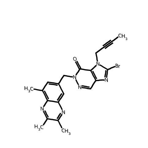 CC#CCn1c(Br)nc2cnn(Cc3cc(C)c4nc(C)c(C)nc4c3)c(=O)c21